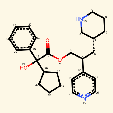 O=C(OCC(C[C@H]1CCCNC1)c1ccncc1)C(O)(c1ccccc1)C1CCCC1